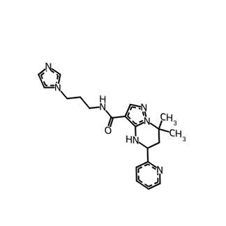 CC1(C)CC(c2ccccn2)Nc2c(C(=O)NCCCn3ccnc3)cnn21